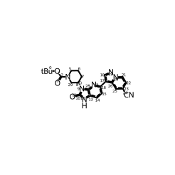 CC(C)(C)OC(=O)N1CCC[C@H](n2c(=O)[nH]c3ccc(-c4cnn5ccc(C#N)cc45)nc32)C1